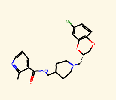 Cc1ncccc1C(=O)NCC1CCN(C[C@H]2COc3ccc(Cl)cc3O2)CC1